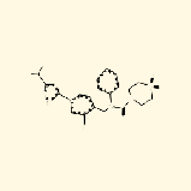 N=S1(=O)CCN(C(=O)N(Cc2ccc(-c3nnc(C(F)F)o3)cc2F)c2ccccc2)CC1